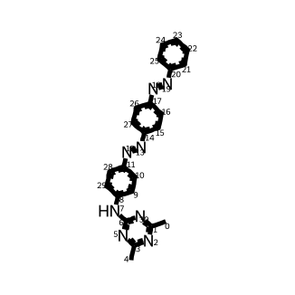 Cc1nc(C)nc(Nc2ccc(N=Nc3ccc(N=Nc4ccccc4)cc3)cc2)n1